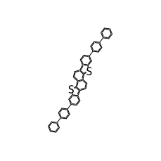 c1ccc(-c2ccc(-c3ccc4c(c3)sc3c4ccc4c3ccc3c5ccc(-c6ccc(-c7ccccc7)cc6)cc5sc34)cc2)cc1